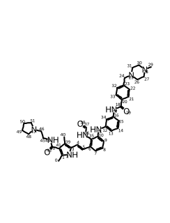 Cc1[nH]c(/C=C/c2cccc(Nc3cccc(NC(=O)c4ccc(CN5CCN(C)CC5)cc4)c3)c2NC=O)c(C)c1C(=O)NCCN1CCCC1